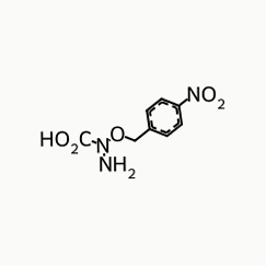 NN(OCc1ccc([N+](=O)[O-])cc1)C(=O)O